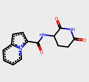 O=C1CCC(NC(=O)c2ccc3ccccn23)C(=O)N1